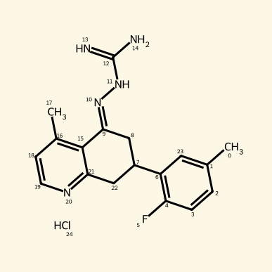 Cc1ccc(F)c(C2CC(=NNC(=N)N)c3c(C)ccnc3C2)c1.Cl